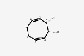 C[C@@H]1C=CCCC=C[C@@H]1C